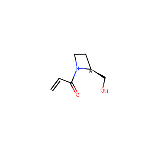 C=CC(=O)N1CC[C@H]1CO